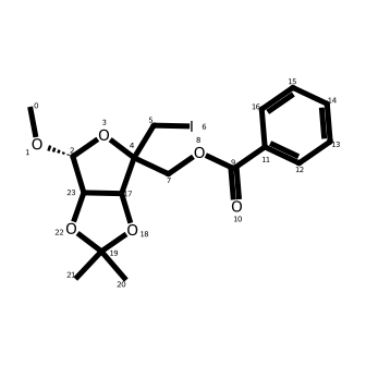 CO[C@@H]1OC(CI)(COC(=O)c2ccccc2)C2OC(C)(C)OC21